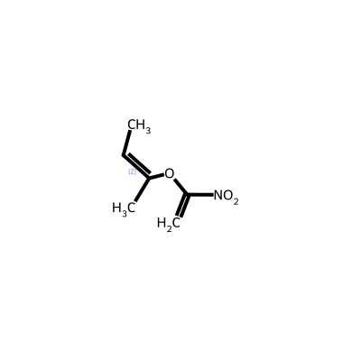 C=C(O/C(C)=C\C)[N+](=O)[O-]